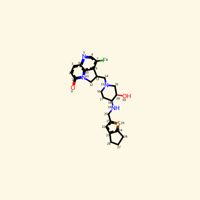 O=c1ccc2ncc(F)c3c2n1CC3CN1CC[C@H](NCc2cc3c(s2)CCC3)[C@H](O)C1